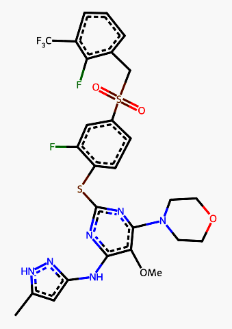 COc1c(Nc2cc(C)[nH]n2)nc(Sc2ccc(S(=O)(=O)Cc3cccc(C(F)(F)F)c3F)cc2F)nc1N1CCOCC1